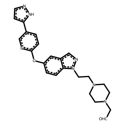 O=CCN1CCN(CCn2ncc3cc(Oc4ccc(-c5ccn[nH]5)cn4)ccc32)CC1